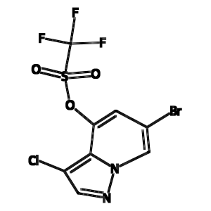 O=S(=O)(Oc1cc(Br)cn2ncc(Cl)c12)C(F)(F)F